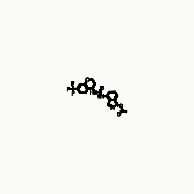 CC(=O)On1ncc2c(NC(=O)NC3CCOc4cc(C(F)(F)F)ccc43)cccc21